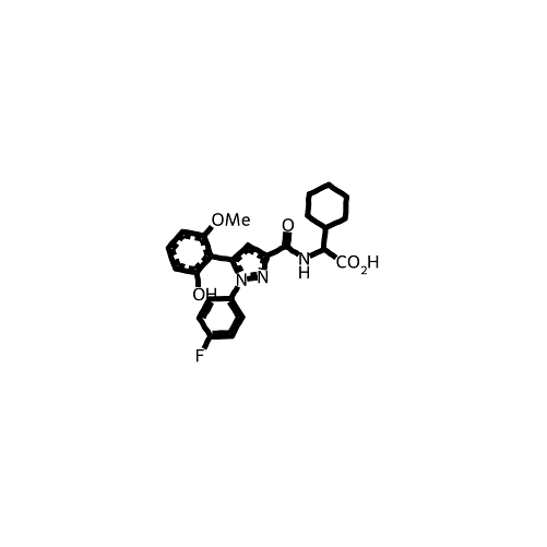 COc1cccc(O)c1-c1cc(C(=O)NC(C(=O)O)C2CCCCC2)nn1C1=C=C=C(F)C=C1